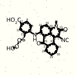 [C-]#[N+]c1c2c3c(c(Nc4ccc(C(=O)O)cc4SOOO)ccc3n(C)c1=O)C(=O)c1ccccc1-2